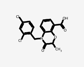 CC1Oc2c(C(=O)O)cccc2N(Cc2ccc(Cl)cc2Cl)C1=O